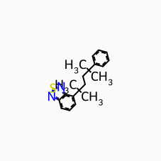 CC(C)(CCC(C)(C)c1cccc2nsnc12)c1ccccc1